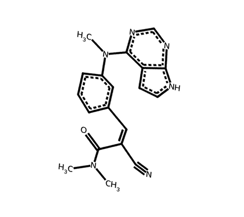 CN(C)C(=O)C(C#N)=Cc1cccc(N(C)c2ncnc3[nH]ccc23)c1